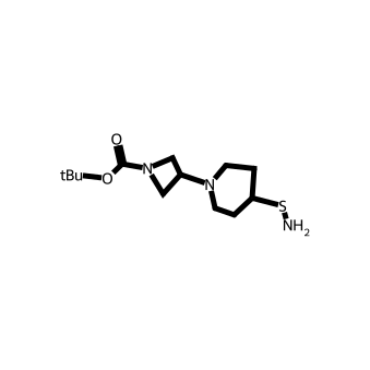 CC(C)(C)OC(=O)N1CC(N2CCC(SN)CC2)C1